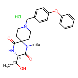 CCCCN1C(=O)[C@H]([C@@H](C)O)NC(=O)C12CCN(Cc1ccc(Oc3ccccc3)cc1)CC2.Cl